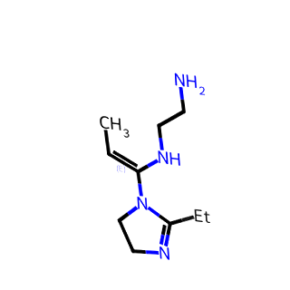 C/C=C(\NCCN)N1CCN=C1CC